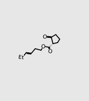 CC/C=C/CCOC(=O)[C@H]1CCCC1=O